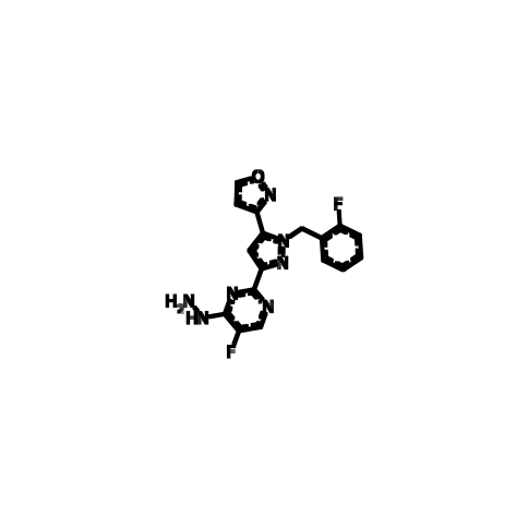 NNc1nc(-c2cc(-c3ccon3)n(Cc3ccccc3F)n2)ncc1F